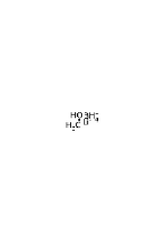 CO.[BH4-].[Li+]